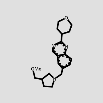 COCC1CCN(Cc2ccc3nc(C4CCOCC4)ncc3c2)C1